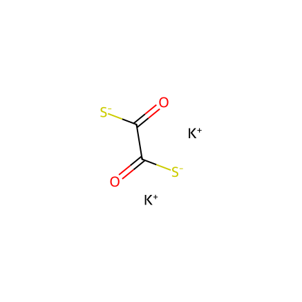 O=C([S-])C(=O)[S-].[K+].[K+]